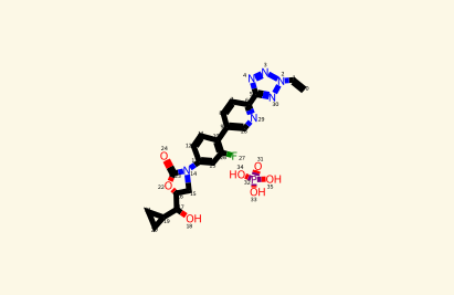 C=Cn1nnc(-c2ccc(-c3ccc(N4CC(C(O)C5CC5)OC4=O)cc3F)cn2)n1.O=P(O)(O)O